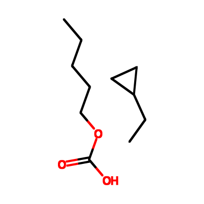 CCC1CC1.CCCCCOC(=O)O